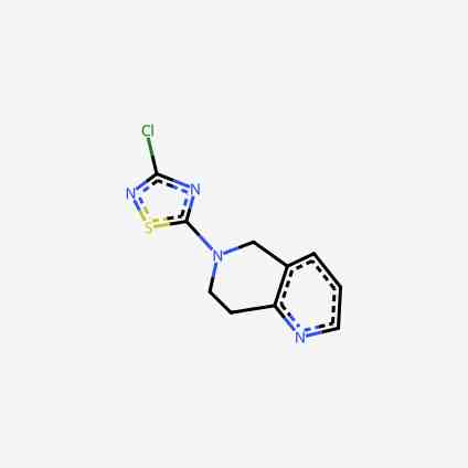 Clc1nsc(N2CCc3ncccc3C2)n1